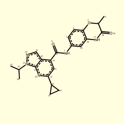 CC1Oc2ccc(NC(=O)c3cc(C4CC4)nc4c3cnn4C(C)C)cc2NC1=O